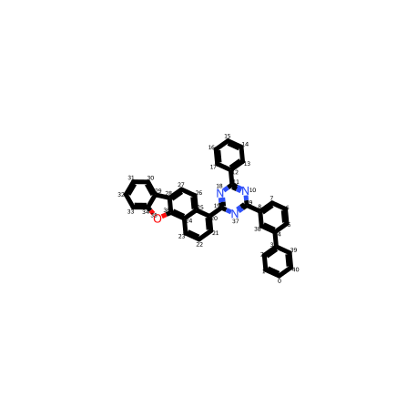 c1ccc(-c2cccc(-c3nc(-c4ccccc4)nc(-c4cccc5c4ccc4c6ccccc6oc54)n3)c2)cc1